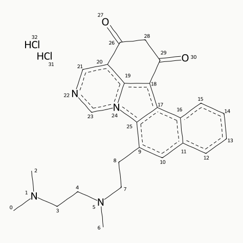 CN(C)CCN(C)CCc1cc2ccccc2c2c3c4c(cncn4c12)C(=O)CC3=O.Cl.Cl